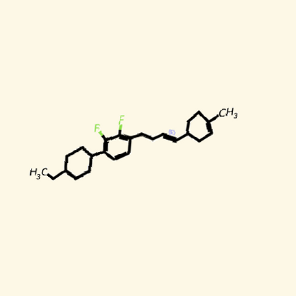 CCC1CCC(c2ccc(CC/C=C/C3CC=C(C)CC3)c(F)c2F)CC1